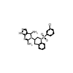 NC1=Nc2[nH]ncc2C(N)N1C1Cc2ccccc2N(S(=O)(=O)c2cccc(Cl)c2)C1